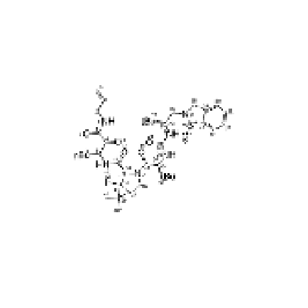 C=CCNC(=O)C(=O)C(CCCC)NC(=O)[C@@H]1[C@@H]2C(CN1C(=O)[C@@H](NC(=O)N[C@H](CN1Cc3ccccc3[S+]1[O-])C(C)(C)C)C(C)(C)C)C2(C)C